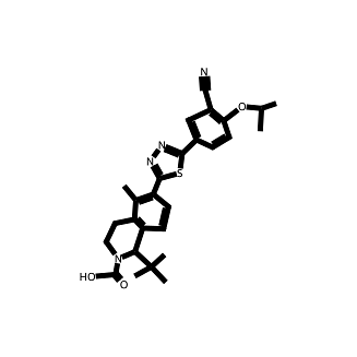 Cc1c(-c2nnc(-c3ccc(OC(C)C)c(C#N)c3)s2)ccc2c1CCN(C(=O)O)C2C(C)(C)C